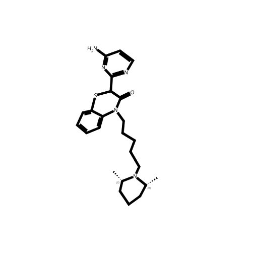 C[C@@H]1CCC[C@H](C)N1CCCCCN1C(=O)C(c2nccc(N)n2)Sc2ccccc21